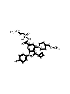 COCCS(=O)(=O)NC(=O)c1cc(N2CCC(COC)CC2)c2c(C3CCC3)nn(-c3ccc(F)cc3)c2n1